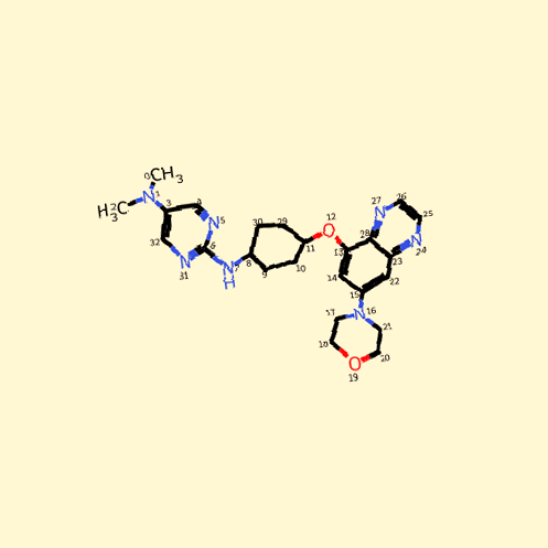 CN(C)c1cnc(NC2CCC(Oc3cc(N4CCOCC4)cc4nccnc34)CC2)nc1